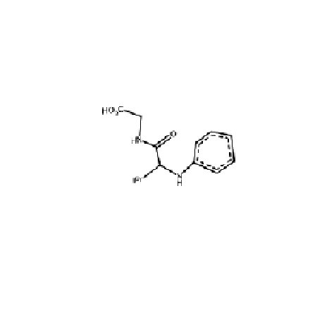 CC(C)C(Nc1ccccc1)C(=O)NCC(=O)O